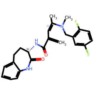 C=C(/C=C(/C)N(C)Cc1cc(F)ccc1F)C(=O)N[C@H]1CCc2ccccc2NC1=O